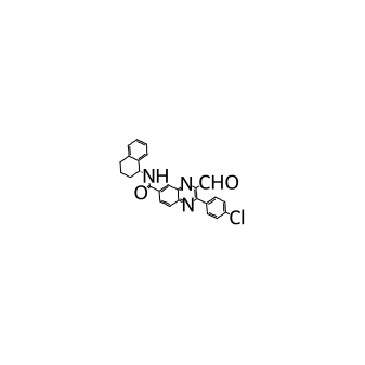 O=Cc1nc2cc(C(=O)N[C@@H]3CCCc4ccccc43)ccc2nc1-c1ccc(Cl)cc1